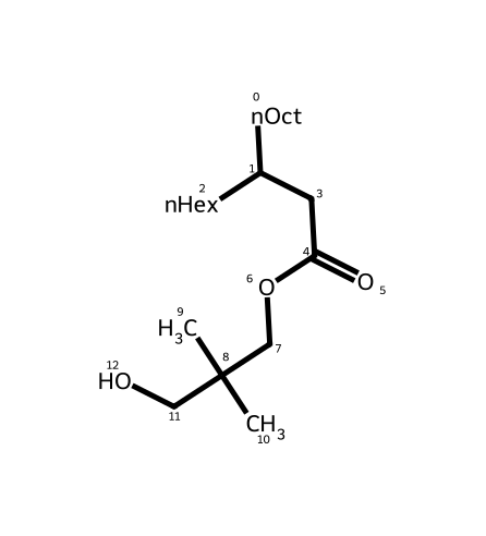 CCCCCCCCC(CCCCCC)CC(=O)OCC(C)(C)CO